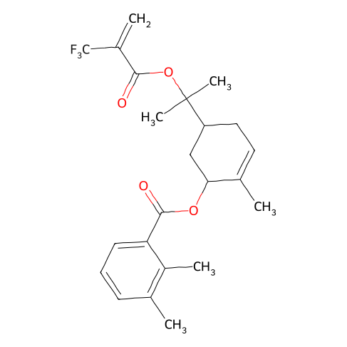 C=C(C(=O)OC(C)(C)C1CC=C(C)C(OC(=O)c2cccc(C)c2C)C1)C(F)(F)F